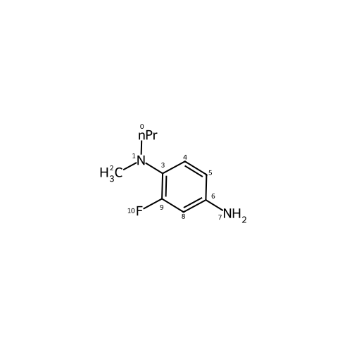 CCCN(C)c1ccc(N)cc1F